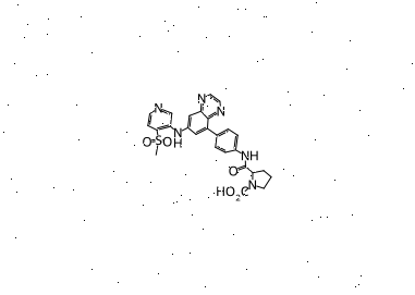 CS(=O)(=O)c1ccncc1Nc1cc(-c2ccc(NC(=O)C3CCCN3C(=O)O)cc2)c2nccnc2c1